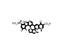 CN1CC2CCN(c3c(-c4cnc5c(c4)c(=O)c(C(=O)O)cn5C)cnc4[nH]c5c(N(C)S(=O)(=O)O)cc(F)c(F)c5c34)C2C1